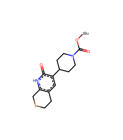 CC(C)(C)OC(=O)N1CCC(c2cc3c([nH]c2=O)CSCC3)CC1